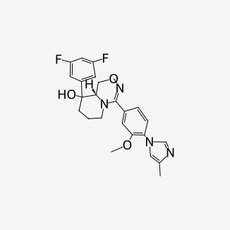 COc1cc(C2=NOC[C@@H]3N2CCCC3(O)c2cc(F)cc(F)c2)ccc1-n1cnc(C)c1